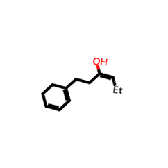 CC/C=C(/O)CCC1=CC=CCC1